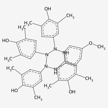 COc1ccc(NN(c2cc(C)c(O)c(C)c2)N(c2cc(C)c(O)c(C)c2)N(Nc2cc(C)c(O)c(C)c2)c2cc(C)c(O)c(C)c2)cc1